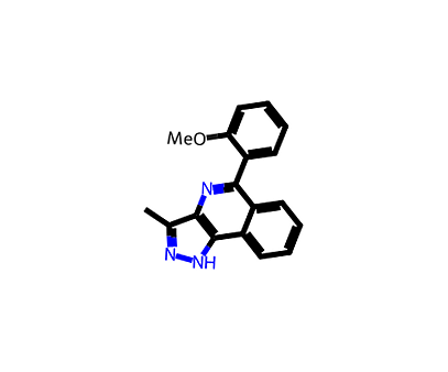 COc1ccccc1-c1nc2c(C)n[nH]c2c2ccccc12